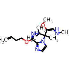 C=CCCOC(=N)c1nccn1C(C)(/C(=C\NC)OC)C(C)C